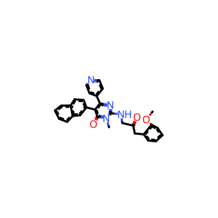 COc1ccccc1CC(=O)CNc1nc(-c2ccncc2)c(-c2ccc3ccccc3c2)c(=O)n1C